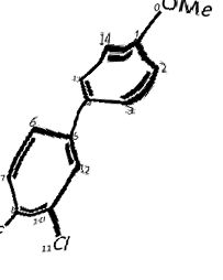 COc1ccc(-c2ccc(F)c(Cl)c2)cc1